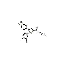 CCOC(=O)c1cc(-c2ccc(SC)cc2)c(-c2ccc(F)c(F)c2)s1